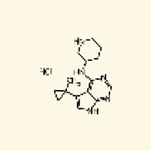 CC1(c2c[nH]c3ncnc(NC4CCCNC4)c23)CC1.Cl